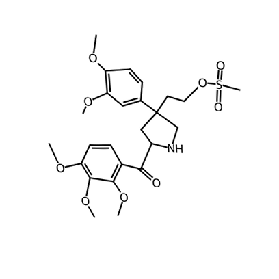 COc1ccc(C2(CCOS(C)(=O)=O)CNC(C(=O)c3ccc(OC)c(OC)c3OC)C2)cc1OC